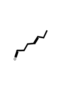 CCC=CCC[C]=O